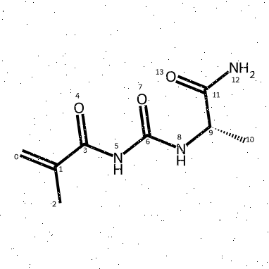 C=C(C)C(=O)NC(=O)N[C@@H](C)C(N)=O